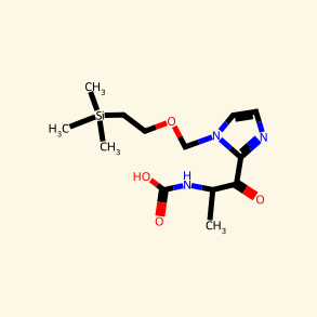 CC(NC(=O)O)C(=O)c1nccn1COCC[Si](C)(C)C